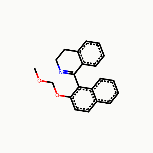 COCOc1ccc2ccccc2c1C1=NCCc2ccccc21